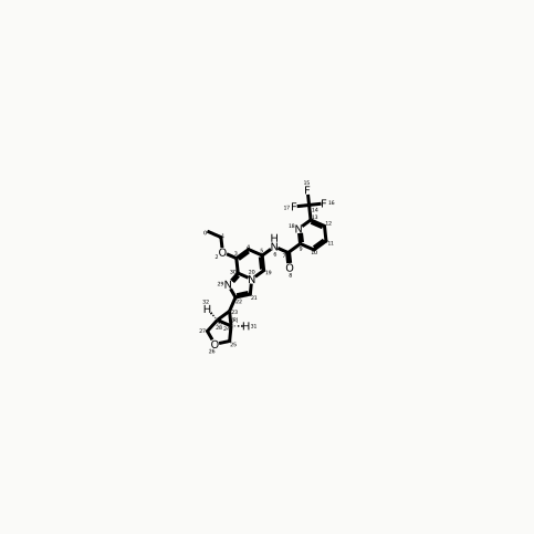 CCOc1cc(NC(=O)c2cccc(C(F)(F)F)n2)cn2cc(C3[C@H]4COC[C@@H]34)nc12